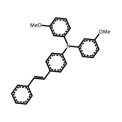 COc1cccc(N(c2ccc(C=Cc3ccccc3)cc2)c2cccc(OC)c2)c1